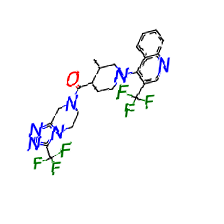 CC1CN(c2c(C(F)(F)F)cnc3ccccc23)CCC1C(=O)N1CCn2c(nnc2C(F)(F)F)C1